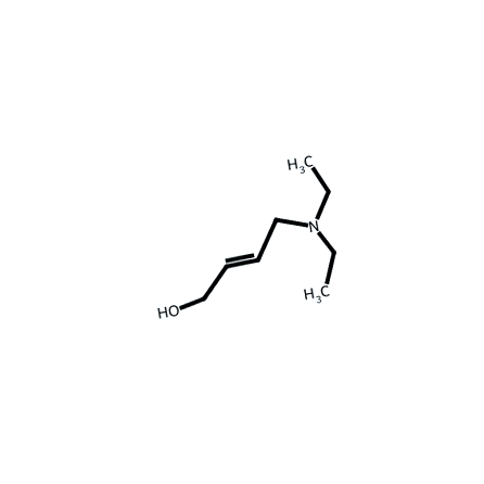 CCN(CC)CC=CCO